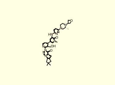 C[C@@H]1CN(c2ccc(Nc3cc(-c4ccnc(-n5ncn6c7c(cc6c5=O)CC(C)(C)C7)c4CO)cn(C)c3=O)nn2)CCN1C1COC1